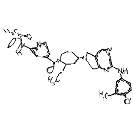 Cc1cc(Nc2ncc3c(n2)CN([C@@H]2CCN(C(=O)c4ccnc(NS(C)(=O)=O)c4)[C@H](C)C2)C3)ccc1Cl